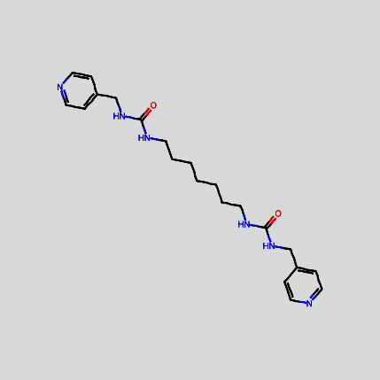 O=C(NCCCCCCCNC(=O)NCc1ccncc1)NCc1ccncc1